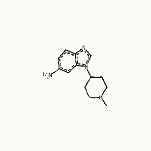 CN1CCC(n2cnc3ccc(N)cc32)CC1